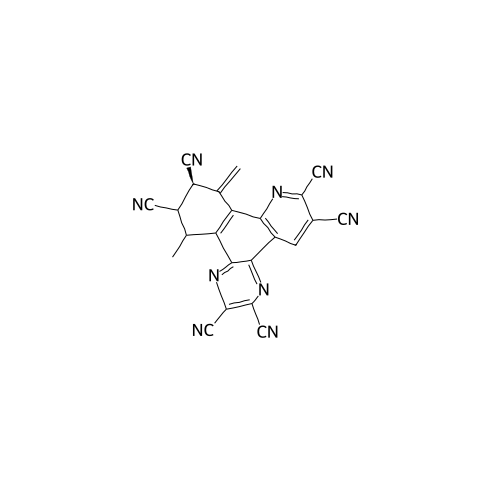 C=C1c2c(c3nc(C#N)c(C#N)nc3c3cc(C#N)c(C#N)nc23)C(C)C(C#N)[C@H]1C#N